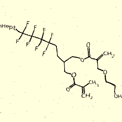 C=C(C)C(=O)OCC(CCC(F)(F)C(F)(F)C(F)(F)C(F)(F)CCCCCCC)COC(=O)C(=C)COCCO